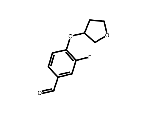 O=Cc1ccc(OC2CCOC2)c(F)c1